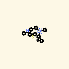 CC1(C)c2ccccc2-c2cc(-c3nc(-c4ccccc4)nc(-c4cccc(-c5ccc6nc(-c7ccccc7)c7ccc8sc9ccccc9c8c7c6c5)c4)n3)ccc21